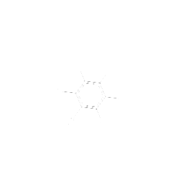 [2H]c1c([2H])c(C(=O)O)c(C(=O)O)c([N+](=O)[O-])c1[2H]